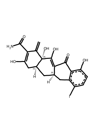 C=C1C(C(N)=O)=C(O)C[C@@H]2C[C@@H]3Cc4c(I)ccc(O)c4C(=O)C3=C(O)[C@]12O